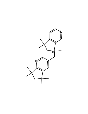 CC1(C)C[C@](C)(Cc2cnc3c(c2)C(C)(C)CC3(C)C)c2cnccc21